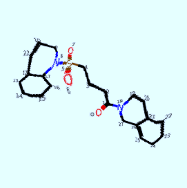 O=C(CCCS(=O)(=O)N1CCCC2CCCCC21)N1CCC2CCCC=C2C1